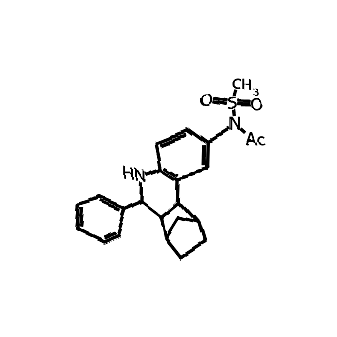 CC(=O)N(c1ccc2c(c1)C1C3CCC(C3)C1C(c1ccccc1)N2)S(C)(=O)=O